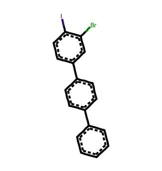 Brc1cc(-c2ccc(-c3ccccc3)cc2)ccc1I